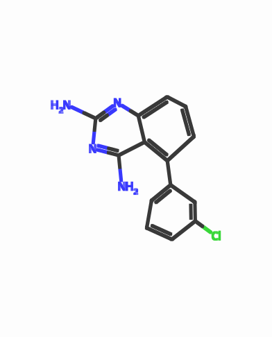 Nc1nc(N)c2c(-c3cccc(Cl)c3)cccc2n1